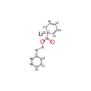 [Li][C]1(C(=O)OCCc2ccccc2)C=CC=CC1